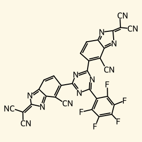 N#CC(C#N)=C1N=c2ccc(-c3nc(-c4ccc5c(c4C#N)=NC(=C(C#N)C#N)N=5)nc(-c4c(F)c(F)c(F)c(F)c4F)n3)c(C#N)c2=N1